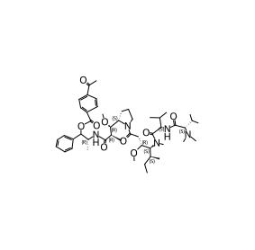 CC[C@H](C)[C@@H]([C@@H](CC(=O)N1CCC[C@H]1[C@H](OC)[C@@H](C)C(=O)N[C@H](C)C(OC(=O)c1ccc(C(C)=O)cc1)c1ccccc1)OC)N(C)C(=O)[C@@H](NC(=O)[C@H](C(C)C)N(C)C)C(C)C